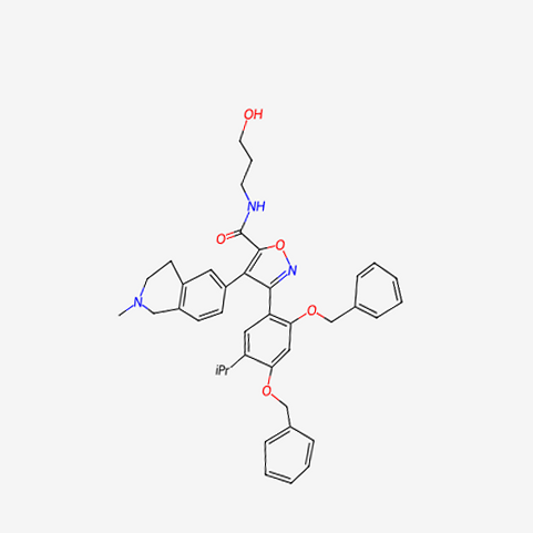 CC(C)c1cc(-c2noc(C(=O)NCCCO)c2-c2ccc3c(c2)CCN(C)C3)c(OCc2ccccc2)cc1OCc1ccccc1